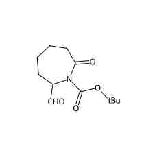 CC(C)(C)OC(=O)N1C(=O)CCCCC1C=O